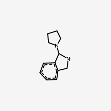 c1ccc2c(c1)C[N]C2N1CCCC1